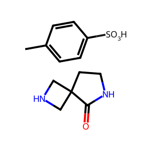 Cc1ccc(S(=O)(=O)O)cc1.O=C1NCCC12CNC2